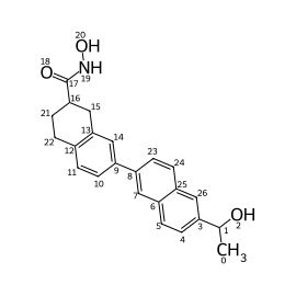 CC(O)c1ccc2cc(-c3ccc4c(c3)CC(C(=O)NO)CC4)ccc2c1